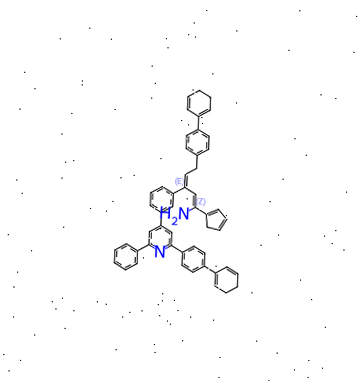 N/C(=C\C(=C/Cc1ccc(C2=CCCC=C2)cc1)c1cccc(-c2cc(-c3ccccc3)nc(-c3ccc(C4=CCCC=C4)cc3)c2)c1)C1=CC=CC1